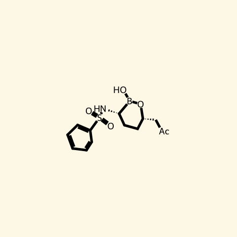 CC(=O)C[C@@H]1CC[C@H](NS(=O)(=O)c2ccccc2)B(O)O1